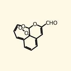 O=CC1=CC2=CC=CC3=CC=C4OOC32C(O1)O4